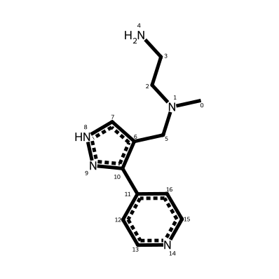 CN(CCN)Cc1c[nH]nc1-c1ccncc1